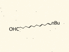 CCCCC=CCC=CCCC=CCCCC=O